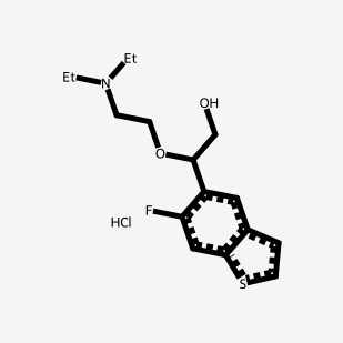 CCN(CC)CCOC(CO)c1cc2ccsc2cc1F.Cl